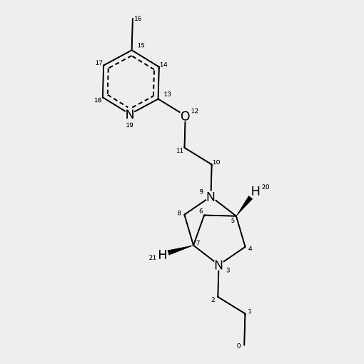 CCCN1C[C@@H]2C[C@H]1CN2CCOc1cc(C)ccn1